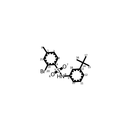 Cc1ccc(S(=O)(=O)Nc2cccc(C(C)(C)C)c2)c(Br)c1